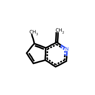 C=c1nccc2c1=C(C)C=C2